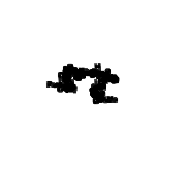 CC[C@@]1(OC(=O)c2ccccc2CN(C)C(=O)OCc2ccc(NC(=O)CNC(=O)[C@H](Cc3ccccc3)NC(=O)CNC(=O)CNC(=O)c3cc(N4C(=O)CC(SC)C4=O)ccc3C)cc2)C(=O)OCc2c1cc1n(c2=O)Cc2c-1nc1cc(F)c(C)c3c1c2[C@@H](NC(=O)CCC(C)C)CC3